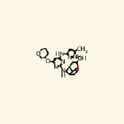 Cc1cc(Nc2cc(OC3CCCOC3)nc(NC3C4CC5CC3CC(O)(C5)C4)n2)n[nH]1